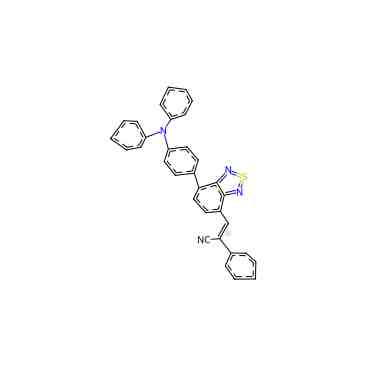 N#C/C(=C\c1ccc(-c2ccc(N(c3ccccc3)c3ccccc3)cc2)c2nsnc12)c1ccccc1